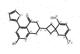 CC(C)c1cc(-c2cccs2)c2c(n1)CC(C1CC3(CC(C(F)(F)F)=CC=C3C=O)C1)CC2=O